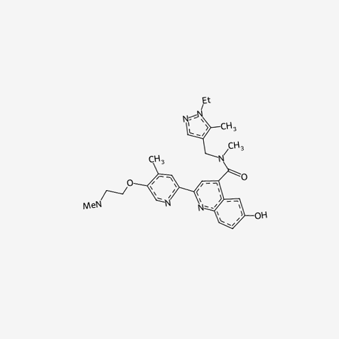 CCn1ncc(CN(C)C(=O)c2cc(-c3cc(C)c(OCCNC)cn3)nc3ccc(O)cc23)c1C